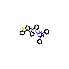 c1ccc(-c2nc(-c3ccccc3)nc(N3c4ccccc4-n4c5ccc6sc7ccccc7c6c5c5cccc3c54)n2)cc1